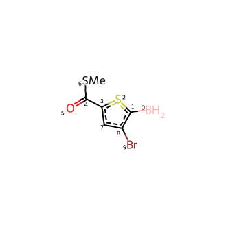 Bc1sc(C(=O)SC)cc1Br